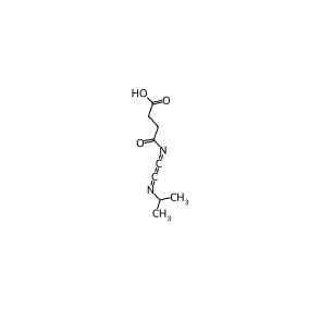 CC(C)N=C=C=NC(=O)CCC(=O)O